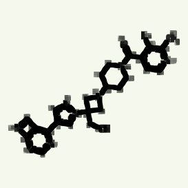 N#CCC1(n2cc(-c3ncnc4c3C=N4)cn2)CN(C2CCN(C(=O)c3ccnc(C(F)(F)F)c3F)CC2)C1